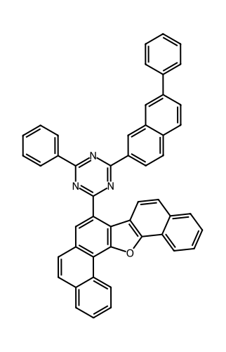 c1ccc(-c2ccc3ccc(-c4nc(-c5ccccc5)nc(-c5cc6ccc7ccccc7c6c6oc7c8ccccc8ccc7c56)n4)cc3c2)cc1